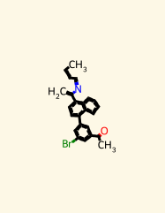 C=C(/N=C\C=C/C)c1ccc(-c2cc(Br)cc(C(C)=O)c2)c2ccccc12